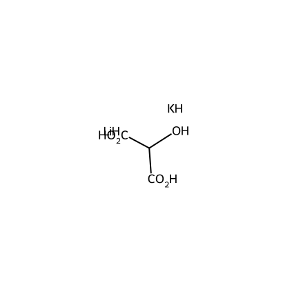 O=C(O)C(O)C(=O)O.[KH].[LiH]